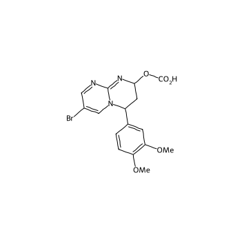 COc1ccc(C2CC(OC(=O)O)N=C3N=CC(Br)=CN32)cc1OC